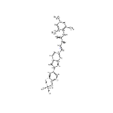 Cc1cc(C)c(NC(=S)N/N=C/c2ccc3nn(-c4ccc(OC(F)(F)F)cc4)cc3c2)c(C)c1